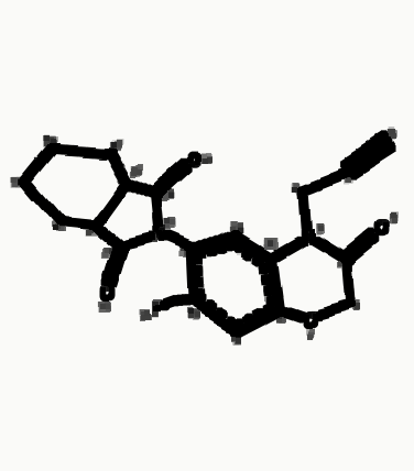 C#CCN1C(=O)COc2cc(F)c(N3C(=O)C4CCCCC4C3=O)cc21